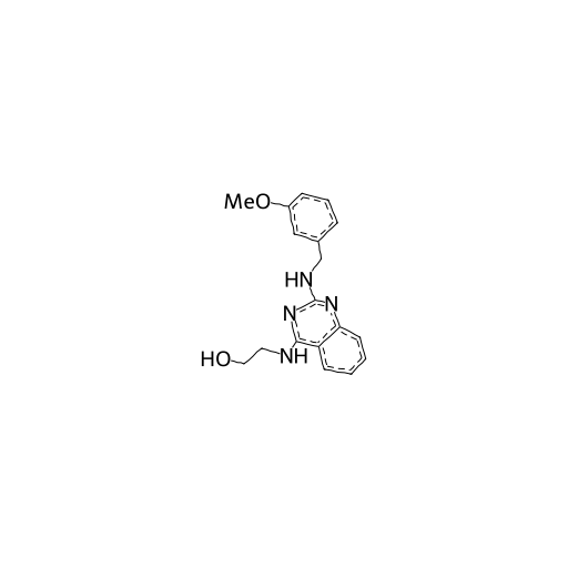 COc1cccc(CNc2nc(NCCO)c3ccccc3n2)c1